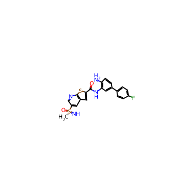 CS(=N)(=O)c1cnc2sc(C(=O)Nc3cc(-c4ccc(F)cc4)ccc3N)cc2c1